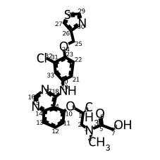 C[C@H](CN(C)C(=O)CO)Oc1cccc2ncnc(Nc3ccc(OCc4cscn4)c(Cl)c3)c12